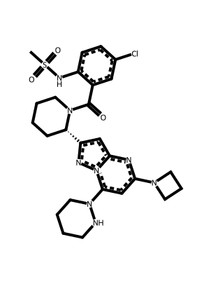 CS(=O)(=O)Nc1ccc(Cl)cc1C(=O)N1CCCC[C@H]1c1cc2nc(N3CCC3)cc(N3CCCCN3)n2n1